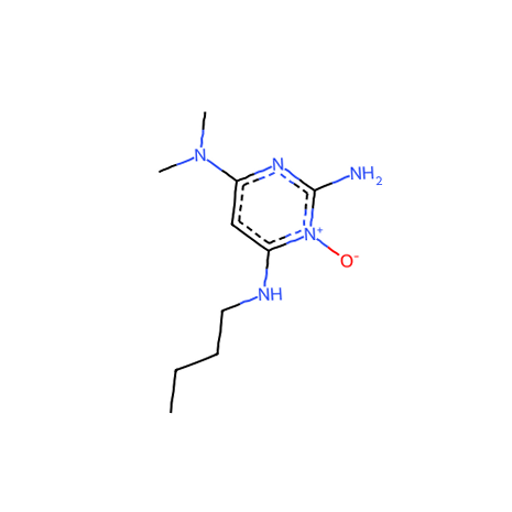 CCCCNc1cc(N(C)C)nc(N)[n+]1[O-]